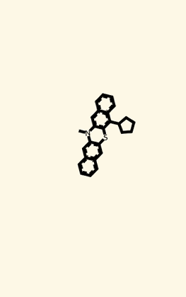 CN1c2cc3ccccc3cc2Sc2c1cc1ccccc1c2C1CCCC1